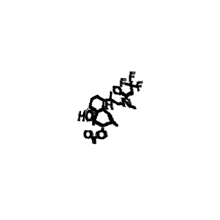 CC(=O)O[C@@H]1[CH][C@@]2(O)[C@H](C)CC[C@@H](C(C)CN(C)C(=O)CC(F)(F)F)[C@H]2C=C1C